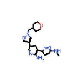 CNc1ccc(-c2cc(-c3cnn(CC4CCOCC4)c3)cnc2N)nn1